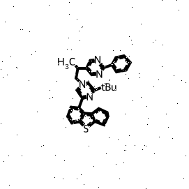 CC(C[n+]1cc(-c2cccc3sc4ccccc4c23)nc(C(C)(C)C)c1)c1cnc(-c2ccccc2)nc1